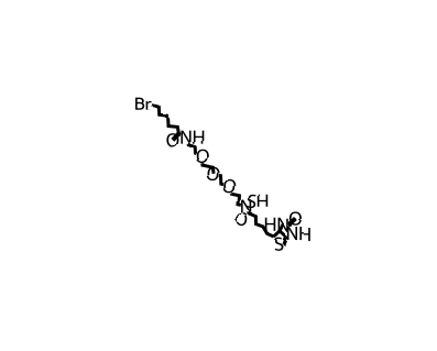 O=C(CCCCCBr)NCCCOCCOCCOCCCN(S)C(=O)CCCCC1SCC2NC(=O)NC21